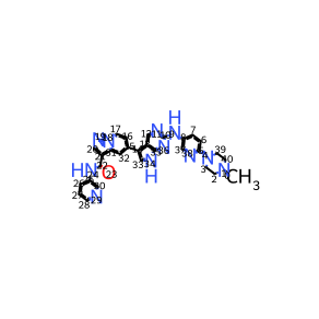 CN1CCN(c2ccc(Nc3ncc4c(-c5ccn6ncc(C(=O)Nc7cccnc7)c6c5)c[nH]c4n3)cn2)CC1